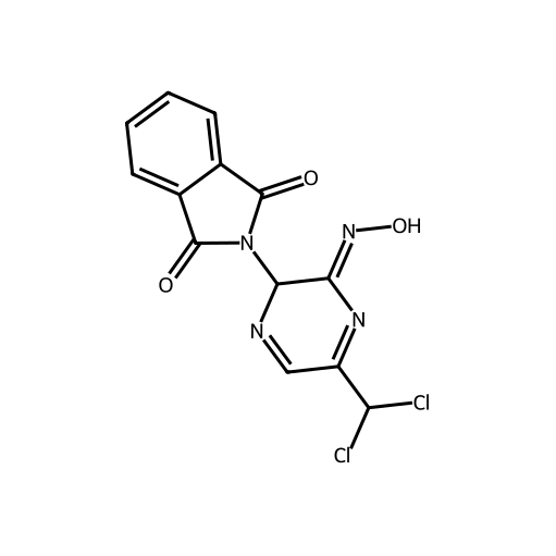 O=C1c2ccccc2C(=O)N1C1N=CC(C(Cl)Cl)=NC1=NO